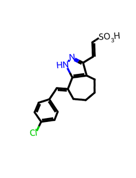 O=S(=O)(O)C=Cc1n[nH]c2c1CCCCC2=Cc1ccc(Cl)cc1